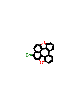 Brc1cc2oc3cccc4c3c2c2c1ccc1oc3cccc-4c3c12